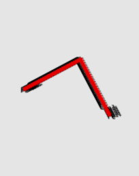 [Cl-].[Cl-].[Cl-].[Cl-].[Cl-].[Cl-].[Cl-].[Cl-].[Cl-].[Cl-].[Cl-].[Cl-].[Cl-].[Cl-].[Cl-].[Cl-].[Cl-].[Cl-].[Cl-].[Cl-].[Cl-].[Cl-].[Cl-].[Cl-].[Cl-].[Cl-].[Cl-].[Cl-].[Cl-].[Cl-].[Cl-].[Cl-].[Cl-].[Cl-].[Cl-].[Cl-].[Cl-].[Cl-].[Cl-].[Cl-].[Cl-].[Cl-].[Cl-].[Cl-].[Cl-].[Cl-].[Cl-].[Cl-].[Cl-].[Cl-].[Cl-].[Cl-].[Cl-].[Cl-].[Cl-].[Cl-].[Cl-].[Cl-].[Cl-].[Cl-].[Cl-].[Cl-].[Cl-].[Cl-].[Cl-].[Cl-].[Cl-].[Cl-].[Cl-].[Cl-].[Cl-].[Cl-].[Cl-].[Cl-].[Cl-].[Cl-].[Cl-].[Cl-].[Cl-].[Cl-].[Cl-].[Cl-].[Cl-].[Cl-].[Cl-].[Cl-].[Cl-].[Cl-].[Cl-].[Cl-].[Cl-].[Cl-].[Cl-].[Cl-].[Cl-].[Cl-].[Cl-].[Cl-].[Cl-].[Cl-].[Fe+2].[Fe+2].[Fe+2].[Fe+2].[Fe+2].[Fe+2].[Fe+2].[Fe+2].[Fe+2].[Fe+2].[Fe+2].[Fe+2].[Fe+2].[Fe+2].[Fe+2].[Fe+2].[Fe+2].[Fe+2].[Fe+2].[Fe+2]